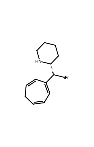 CC(C)C(C1=CC=CCC=C1)[C@H]1CCCCN1